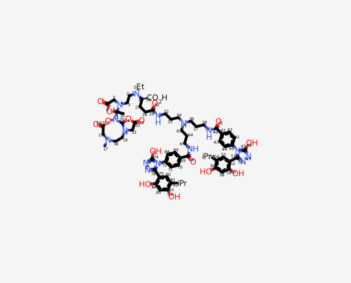 CCN(CCN1CC(=O)OC1(C)N1OC(=O)CN(C)CCN2CC(=O)OC21)[C@H](CCC(=O)NCCCN(CCCNC(=O)c1ccc(-n2c(O)nnc2-c2cc(C(C)C)c(O)cc2O)cc1)CCCNC(=O)c1ccc(-n2c(O)nnc2-c2cc(C(C)C)c(O)cc2O)cc1)C(=O)O